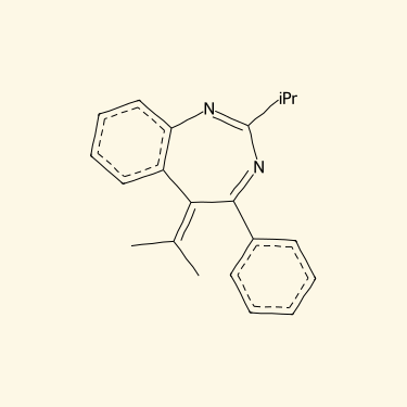 CC(C)=C1C(c2ccccc2)=NC(C(C)C)=Nc2ccccc21